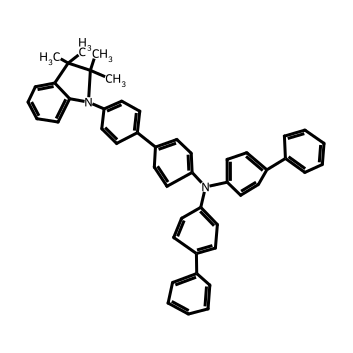 CC1(C)c2ccccc2N(c2ccc(-c3ccc(N(c4ccc(-c5ccccc5)cc4)c4ccc(-c5ccccc5)cc4)cc3)cc2)C1(C)C